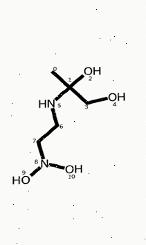 CC(O)(CO)NCCN(O)O